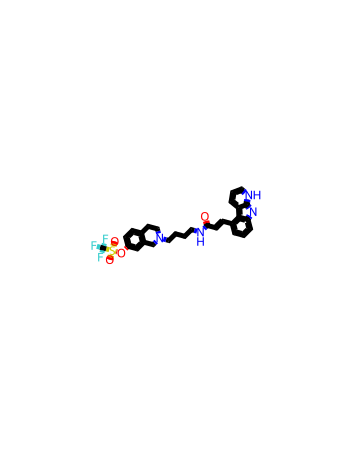 O=C(/C=C/c1cccc2nc3[nH]cccc-3c12)NCCCCN1CCc2ccc(OS(=O)(=O)C(F)(F)F)cc2C1